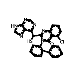 O=c1c2c(Cl)cccc2nc(C(S)c2ncnc3[nH]cnc23)n1-c1ccccc1-c1ccccc1